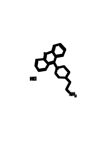 Cl.NCCC1CCN(c2c3ccccc3nc3ccccc23)CC1